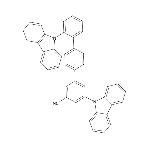 N#Cc1cc(-c2ccc(-c3ccccc3-n3c4c(c5ccccc53)CCC=C4)cc2)cc(-n2c3ccccc3c3ccccc32)c1